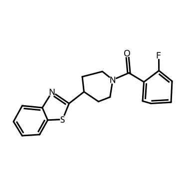 O=C(c1ccccc1F)N1CCC(c2nc3ccccc3s2)CC1